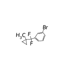 CC1(C(F)(F)c2cccc(Br)c2)CC1